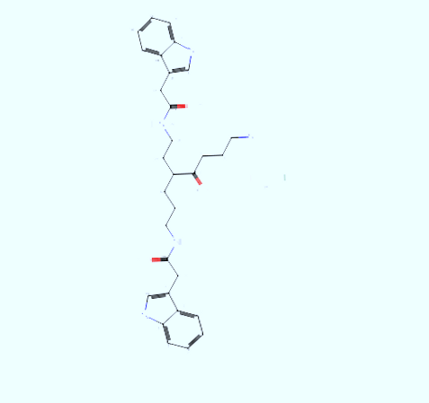 Cl.NCCCC(=O)C(CCCNC(=O)Cc1c[nH]c2ccccc12)CCNC(=O)Cc1c[nH]c2ccccc12.O